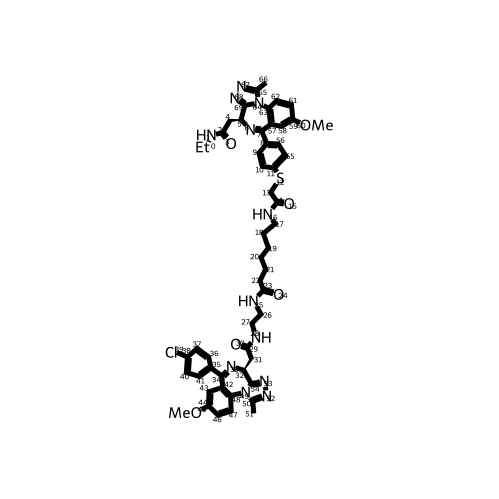 CCNC(=O)C[C@@H]1N=C(c2ccc(SCC(=O)NCCCCCCC(=O)NCCNC(=O)C[C@@H]3N=C(c4ccc(Cl)cc4)c4cc(OC)ccc4-n4c(C)nnc43)cc2)c2cc(OC)ccc2-n2c(C)nnc21